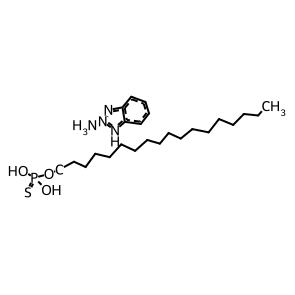 CCCCCCCCCCCCCCCCCCOP(O)(O)=S.N.c1ccc2[nH]nnc2c1